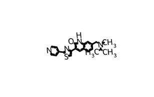 CC(C)N(C)Cc1ccc2cc(-c3csc(-c4ccncc4)n3)c(=O)[nH]c2c1